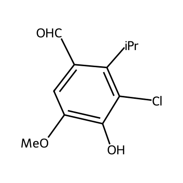 COc1cc(C=O)c(C(C)C)c(Cl)c1O